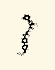 O=C(O)CC1CCC(c2ccc(NC(=O)CCNC(=O)c3nc(-c4cccc(Cl)c4)oc3C(F)(F)F)cc2)CC1